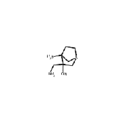 BC12CCN(C1)CC2(O)CN